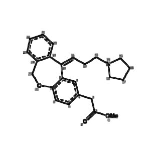 COC(=O)Cc1ccc2c(c1)C(=CCCN1CCCC1)c1ccccc1CO2